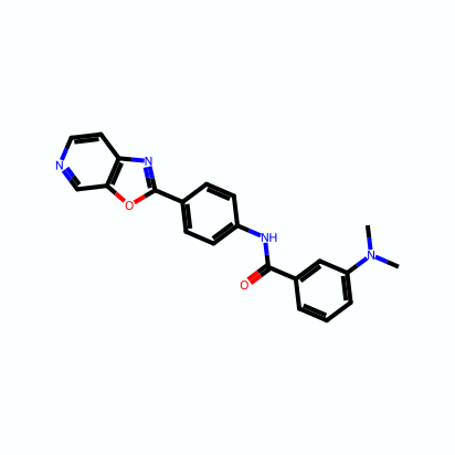 CN(C)c1cccc(C(=O)Nc2ccc(-c3nc4ccncc4o3)cc2)c1